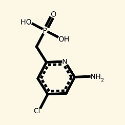 Nc1cc(Cl)cc(CP(=O)(O)O)n1